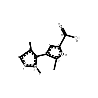 Cc1cnn(C)c1-c1cc(C(=O)O)oc1C